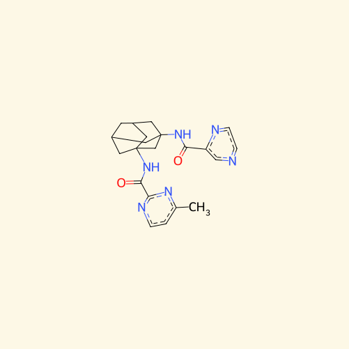 Cc1ccnc(C(=O)NC23CC4CC(CC(NC(=O)c5cnccn5)(C4)C2)C3)n1